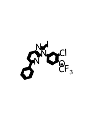 FC(F)(F)Oc1ccc(-n2c(I)nc3ccc(-c4ccccc4)nc32)cc1Cl